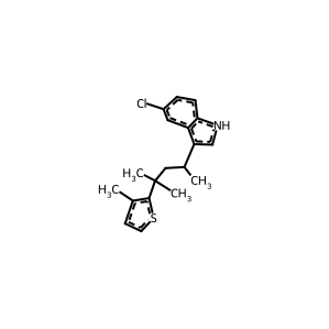 Cc1ccsc1C(C)(C)CC(C)c1c[nH]c2ccc(Cl)cc12